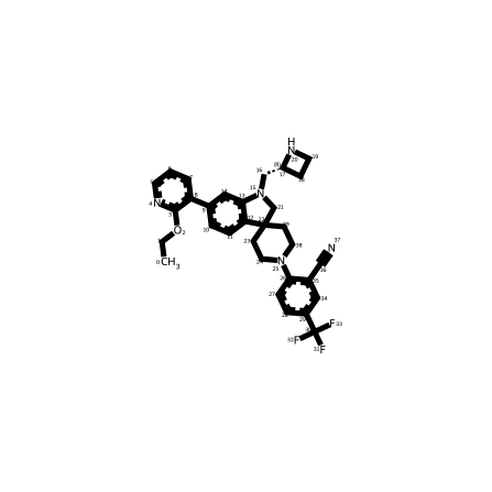 CCOc1ncccc1-c1ccc2c(c1)N(C[C@H]1CCN1)CC21CCN(c2ccc(C(F)(F)F)cc2C#N)CC1